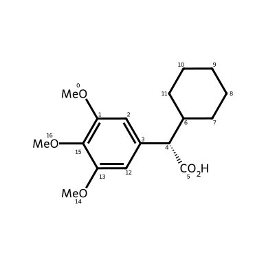 COc1cc([C@@H](C(=O)O)C2CCCCC2)cc(OC)c1OC